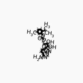 Cc1ccc(C(C)C)c(OC(=O)OC[C@H]2O[C@@](C#N)(c3ccc4c(N)ncnn34)[C@H](O)[C@@H]2O)c1